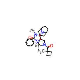 CCN1CC2(CC3CCC(C2)N3C[C@H]2CN(C(=O)C3(C(F)(F)F)CCC3)C[C@@H]2c2ccccc2)N(C(C)C)C1=O